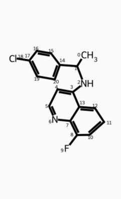 CC(Nc1ccnc2c(F)cccc12)c1ccc(Cl)cc1